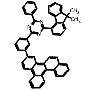 CC1(C)c2ccccc2-c2c(-c3nc(-c4ccccc4)nc(-c4cccc(-c5ccc6c7ccccc7c7c8ccccc8ccc7c6c5)c4)n3)cccc21